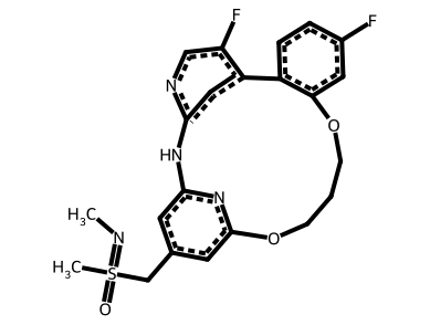 CN=S(C)(=O)Cc1cc2nc(c1)OCCCOc1cc(F)ccc1-c1cc(ncc1F)N2